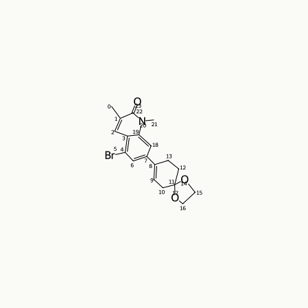 Cc1cc2c(Br)cc(C3=CCC4(CC3)OCCO4)cc2n(C)c1=O